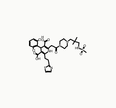 CC(C)(CNS(C)(=O)=O)CN1CCN(C(=O)CC2=C(C(=O)O)C(c3c(Cl)cccc3Cl)C(C(=O)O)=C(CCc3nccs3)N2)CC1